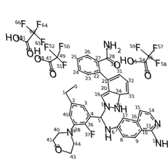 CCc1cc(C(Nc2ccc3c(N)nccc3c2)N2C=C3C(c4ccccc4C(N)=O)=CC=CC3N2)c(F)c(N2CCOCC2)c1.O=C(O)C(F)(F)F.O=C(O)C(F)(F)F.O=C(O)C(F)(F)F